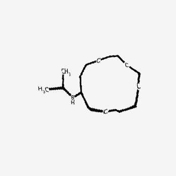 CC(C)BC1CCCCCCCCCCC1